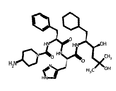 CC(C)(O)C[C@H](O)[C@H](CC1CCCCC1)NC(=O)[C@H](Cc1c[nH]cn1)NC(=O)[C@H](Cc1ccccc1)NC(=O)N1CCC(N)CC1